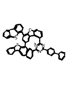 c1ccc(-c2ccc(-c3nc(-c4ccccc4)nc(-c4cccc5oc6c(-c7cccc8c7sc7ccccc78)cc(-c7cccc8c7sc7ccccc78)cc6c45)n3)cc2)cc1